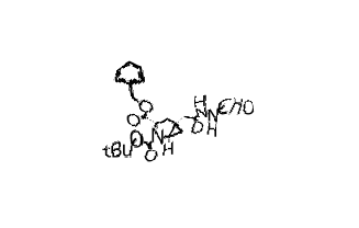 CC(C)(C)OC(=O)N1[C@H](C(=O)OCc2ccccc2)C[C@@]2(CC(=O)NNC=O)C[C@@H]12